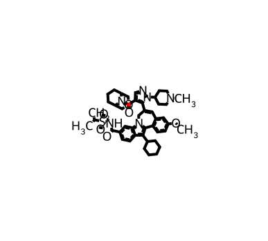 COc1ccc2c(c1)C=C(c1c(C(=O)N3C4CCCC3COC4)cnn1C1CCN(C)CC1)Cn1c-2c(C2CCCCC2)c2ccc(C(=O)NS(=O)(=O)C(C)C)cc21